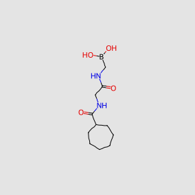 O=C(CNC(=O)C1CCCCCC1)NCB(O)O